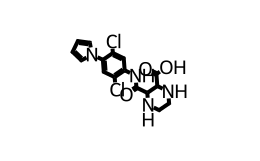 O=C(O)C1NCCNC1C(=O)Nc1cc(Cl)c(-n2cccc2)cc1Cl